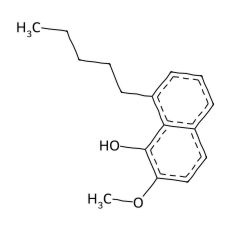 CCCCCc1cccc2ccc(OC)c(O)c12